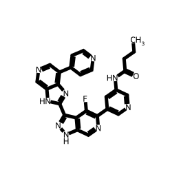 CCCC(=O)Nc1cncc(-c2ncc3[nH]nc(-c4nc5c(-c6ccncc6)cncc5[nH]4)c3c2F)c1